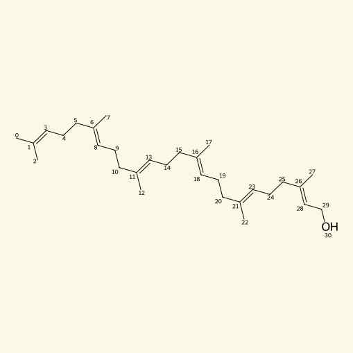 CC(C)=CCCC(C)=CCCC(C)=CCCC(C)=CCCC(C)=CCCC(C)=CCO